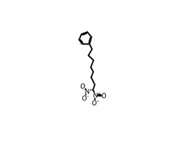 O=[N+]([O-])C(CCCCCCCc1[c]cccc1)[N+](=O)[O-]